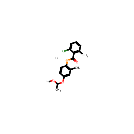 CCOC(C)Oc1ccc(PC(=O)c2c(C)cccc2Cl)c(C)c1.[Li]